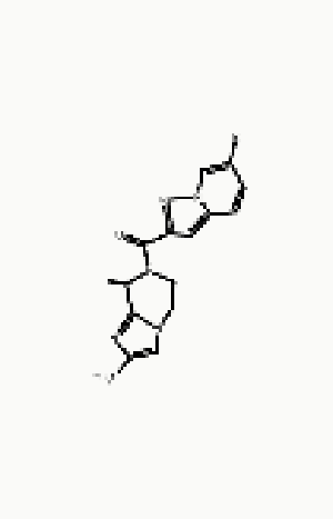 CCOC(=O)c1cn2c(n1)C(C)N(C(=O)c1cc3ccc(Br)cn3n1)CC2